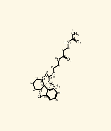 CC(=O)NCCC(=O)OCCOC(=O)N(C)[C@]1(c2ccccc2Cl)CCCCC1=O